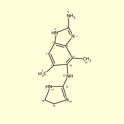 Cc1cc2[nH]c(N)nc2c(C)c1NC1=NCCN1